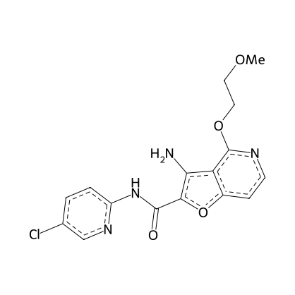 COCCOc1nccc2oc(C(=O)Nc3ccc(Cl)cn3)c(N)c12